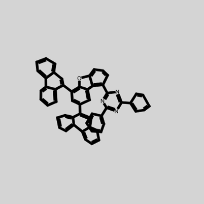 c1ccc(-c2nc(-c3ccccc3)nc(-c3cccc4oc5c(-c6cc7ccccc7c7ccccc67)cc(-c6cc7ccccc7c7ccccc67)cc5c34)n2)cc1